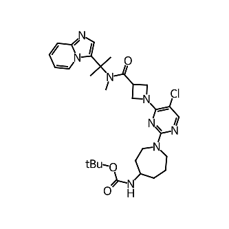 CN(C(=O)C1CN(c2nc(N3CCCC(NC(=O)OC(C)(C)C)CC3)ncc2Cl)C1)C(C)(C)c1cnc2ccccn12